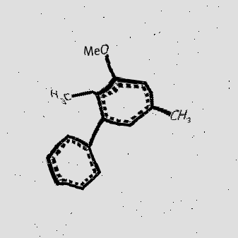 COc1cc(C)cc(-c2ccccc2)c1C